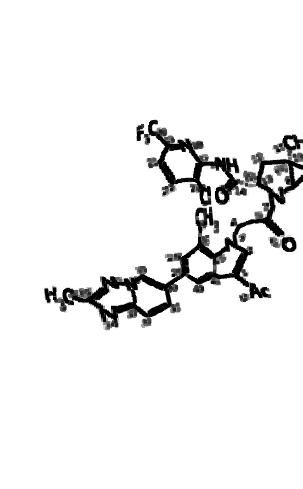 CC(=O)c1cn(CC(=O)N2C3C[C@]3(C)C[C@H]2C(=O)Nc2nc(C(F)(F)F)ccc2Cl)c2c(C)cc(-c3ccc4nc(C)nn4c3)cc12